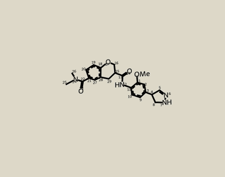 COc1cc(C2C=NNC2)ccc1NC(=O)C1COc2ccc(C(=O)N(C)C)cc2C1